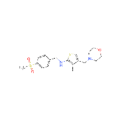 Cc1c(CN2CCOCC2)csc1NCc1ccc(S(=O)(=O)C(F)(F)F)cc1